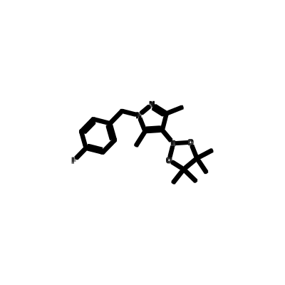 Cc1nn(Cc2ccc(F)cc2)c(C)c1B1OC(C)(C)C(C)(C)O1